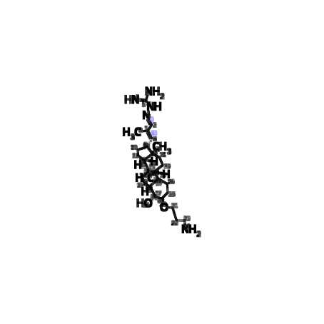 CC(/C=N/NC(=N)N)=C\[C@H]1CC[C@H]2[C@@H]3CC[C@@H]4[C@@H](O)[C@@H](OCCCN)CC[C@]4(C)[C@H]3CC[C@]12C